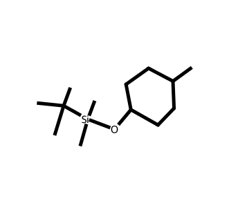 CC1CCC(O[Si](C)(C)C(C)(C)C)CC1